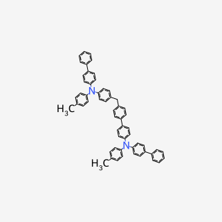 Cc1ccc(N(c2ccc(Cc3ccc(-c4ccc(N(c5ccc(C)cc5)c5ccc(-c6ccccc6)cc5)cc4)cc3)cc2)c2ccc(-c3ccccc3)cc2)cc1